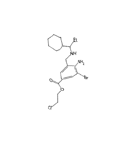 CCC(NCc1cc(C(=O)OCCCl)cc(Br)c1N)C1CCCCC1